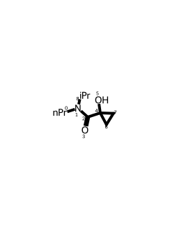 CCCN(C(=O)C1(O)CC1)C(C)C